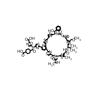 CNC(=O)C[C@@H]1NC(=O)c2csc(n2)-c2ccc(-c3nc(N(C(=O)C4CCC(C(=O)O)CC4)c4cnc(C(=O)O)o4)cs3)nc2-c2csc(n2)-c2csc(n2)[C@H]([C@@H](O)c2ccccc2)NC(=O)CNC(=O)c2nc(sc2COC)C(C(C)C)NC(=O)c2nc1sc2C